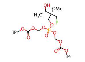 CO[C@](CF)(COP(=O)(OCOC(=O)OC(C)C)OCOC(=O)OC(C)C)[C@H](C)O